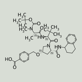 C[C@@H](C(=O)N[C@H](C(=O)N1C[C@@H](OCc2ccc(C(=O)O)cc2)C[C@H]1C(=O)NC1CCCc2ccccc21)C(C)(C)C)N(C)C(=O)OC(C)(C)C